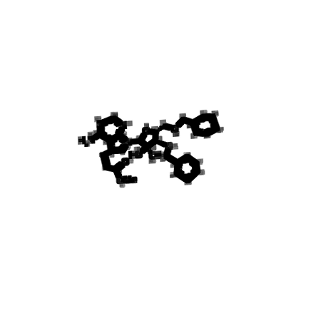 COC(=O)/C=C\c1cn(C2O[C@H](COCc3ccccc3)[C@@H](OCc3ccccc3)[C@@]2(C)O)c2ncnc(N)c12